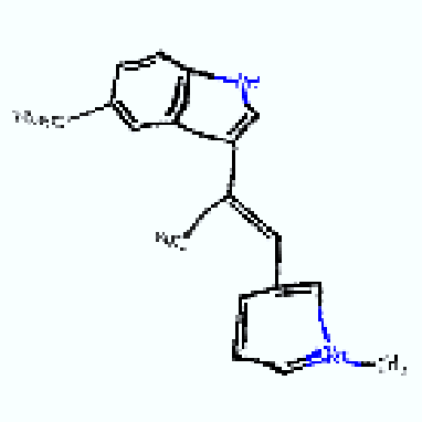 COc1ccc2[nH]cc(/C(C#N)=C/c3ccc[n+](C)c3)c2c1